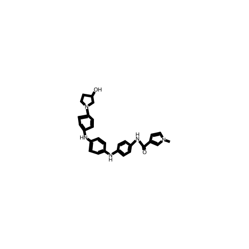 Cn1ccc(C(=O)Nc2ccc(Nc3ccc(Nc4ccc(N5CCC(O)C5)cc4)cc3)cc2)c1